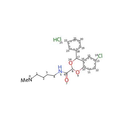 CNCCCCNC(=O)C1Oc2ccc(Cl)cc2C(c2ccccc2)O1.Cl